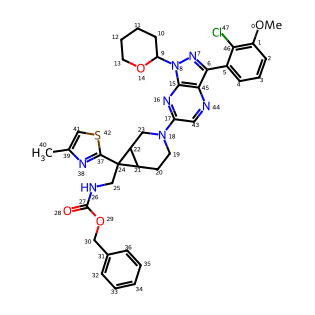 COc1cccc(-c2nn(C3CCCCO3)c3nc(N4CCC5C(C4)C5(CNC(=O)OCc4ccccc4)c4nc(C)cs4)cnc23)c1Cl